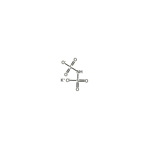 O=S(=O)([O-])NS(=O)(=O)Cl.[K+]